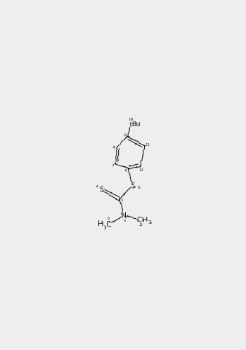 CN(C)C(=S)Sc1ccc(C(C)(C)C)cc1